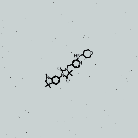 CN1CC(C)(C)c2ccc(N3C(=O)N(Cc4ccnc(NC5CCOCC5)c4)C(C)(C)C3=O)cc21